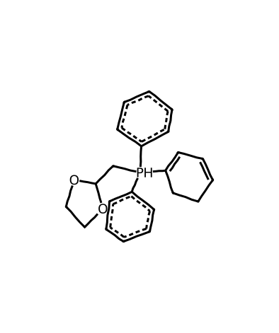 C1=CCCC([PH](CC2OCCO2)(c2ccccc2)c2ccccc2)=C1